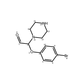 O=CC(Oc1ccc(Br)cc1)N1CCNCC1